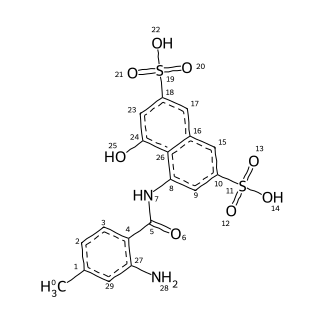 Cc1ccc(C(=O)Nc2cc(S(=O)(=O)O)cc3cc(S(=O)(=O)O)cc(O)c23)c(N)c1